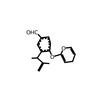 C=C(C)C(C)c1cc(C=O)ccc1OC1=CCC=CO1